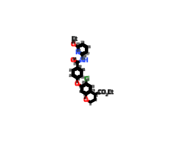 CCOC(=O)C1CCOc2cc(Oc3ccc(C(=O)Nc4cccc(OCC)n4)cc3)c(Cl)cc21